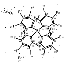 CC(=O)[O-].Fc1c(F)c(F)c([B-](c2c(F)c(F)c(F)c(F)c2F)(c2c(F)c(F)c(F)c(F)c2F)c2c(F)c(F)c(F)c(F)c2F)c(F)c1F.[Pd+2]